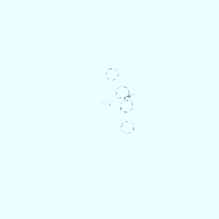 Cl.Cl.[CH3][Zr]([CH3])(=[GeH2])([c]1cccc2c1Cc1ccccc1-2)[c]1cccc2c1Cc1ccccc1-2